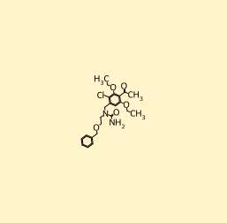 CCOc1cc(CN(CCOCc2ccccc2)C(N)=O)c(Cl)c(OCC)c1C(C)=O